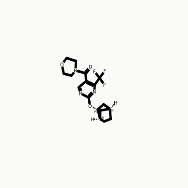 O=C(c1cnc(O[C@@H]2C[C@H]3CC[C@@H]2C3)nc1C(F)(F)F)N1CCOCC1